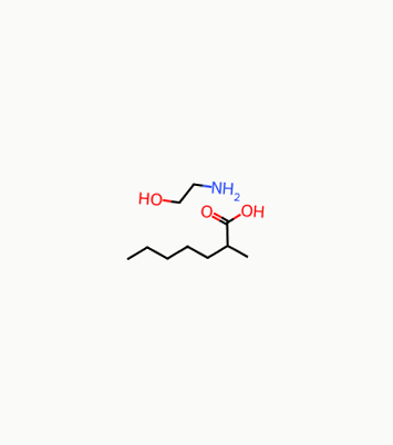 CCCCCC(C)C(=O)O.NCCO